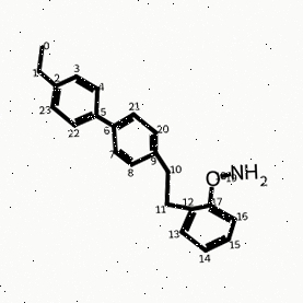 CCc1ccc(-c2ccc(CCc3ccccc3ON)cc2)cc1